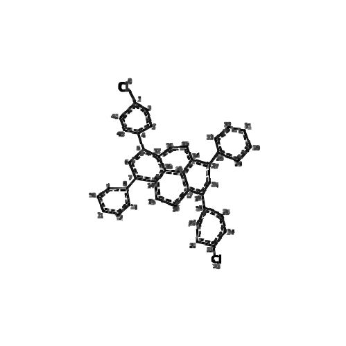 Clc1ccc(-c2cc(-c3ccccc3)c3ccc4c(-c5ccc(Cl)cc5)cc(-c5ccccc5)c5ccc2c3c54)cc1